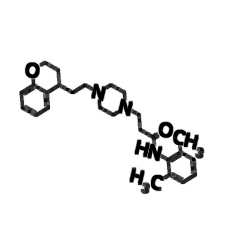 Cc1cccc(C)c1NC(=O)CCN1CCN(CCC2CCOc3ccccc32)CC1